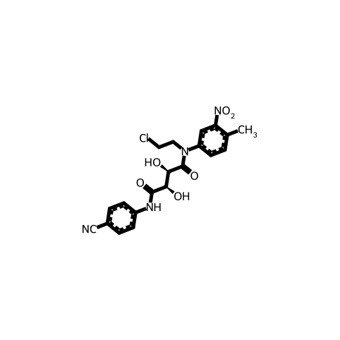 Cc1ccc(N(CCCl)C(=O)[C@H](O)[C@@H](O)C(=O)Nc2ccc(C#N)cc2)cc1[N+](=O)[O-]